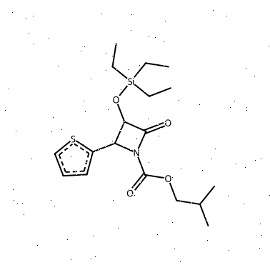 CC[Si](CC)(CC)OC1C(=O)N(C(=O)OCC(C)C)C1c1cccs1